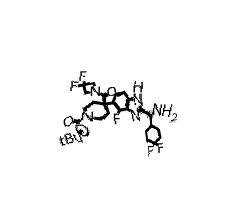 CC(C)(C)OC(=O)N1CCC(C(=O)N2CC(F)(F)C2)(c2ccc3[nH]c([C@@H](N)C4CCC(F)(F)CC4)nc3c2F)CC1